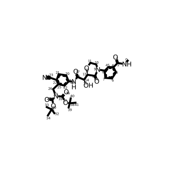 CNC(=O)c1cccc(N2CCO[C@H]([C@@H](O)C(=O)Nc3ccc(C#N)c(CN(C(=O)OC(C)(C)C)C(=O)OC(C)(C)C)c3)C2=O)c1